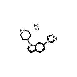 Cl.Cl.c1cc2ccn(C3CCNCC3)c2cc1-n1cnnc1